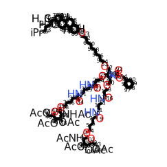 CC(=O)NC1C(OCCCCC(=O)NCCCNC(=O)CCOCC2C(OCCC(=O)NCCCNC(=O)CCCCOC3OC(COC(C)=O)C(OC(C)=O)C(OC(C)=O)C3NC(C)=O)C(COCCCCCCCCCCO[C@@H]3C=C4CC[C@H]5[C@@H]6CC[C@H]([C@H](C)CCCC(C)C)[C@@]6(C)CC[C@@H]5[C@@]4(C)CC3)N2C(=O)OCc2ccccc2)OC(COC(C)=O)C(OC(C)=O)C1OC(C)=O